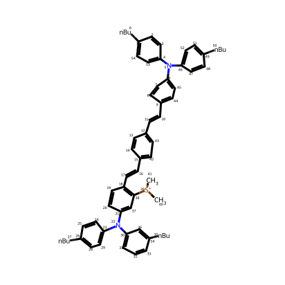 CCCCc1ccc(N(c2c[c]c(C=Cc3ccc(C=Cc4ccc(N(c5ccc(CCCC)cc5)c5cccc(CCCC)c5)cc4[S+](C)C)cc3)cc2)c2ccc(CCCC)cc2)cc1